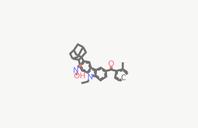 CCn1c2ccc(C(=O)c3ccccc3C)cc2c2cc(C34CC5CC(CC(C5)C3C=NO)C4)ccc21